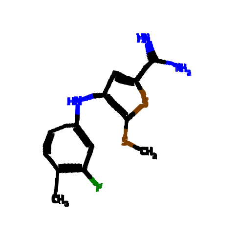 CSc1sc(C(=N)N)cc1Nc1ccc(C)c(F)c1